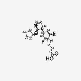 O=C(O)CCCCc1c(F)cc(-c2cccnc2OC2CCCC2)cc1F